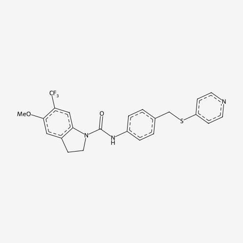 COc1cc2c(cc1C(F)(F)F)N(C(=O)Nc1ccc(CSc3ccncc3)cc1)CC2